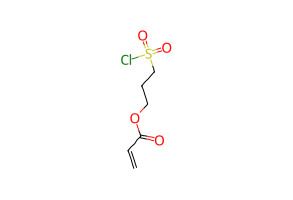 C=CC(=O)OCCCS(=O)(=O)Cl